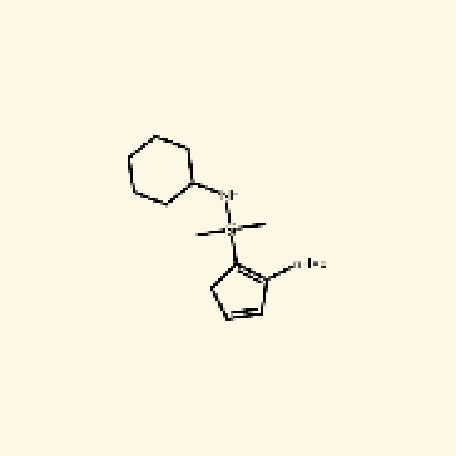 CCCCCCC1=C([Si](C)(C)NC2CCCCC2)CC=C1